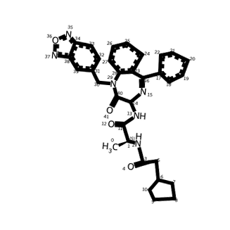 C[C@H](NC(=O)CC1CCCC1)C(=O)NC1N=C(c2ccccc2)c2ccccc2N(Cc2ccc3nonc3c2)C1=O